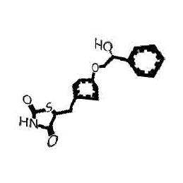 O=C1NC(=O)C(Cc2ccc(OC[C@H](O)c3ccccc3)cc2)S1